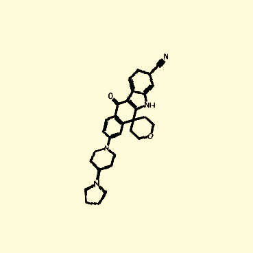 N#CC1C=c2[nH]c3c(c2=CC1)C(=O)c1ccc(N2CCC(N4CCCC4)CC2)cc1C31CCOCC1